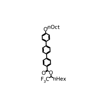 CCCCCCCCOc1ccc(-c2ccc(-c3ccc(C(=O)OC(CCCCCC)C(F)(F)F)cc3)cc2)cc1